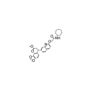 COC(=O)CC(c1ccc2c(c1)OCO2)c1ccc2ccc(OCC(=O)NC3CCCCCC3)nc2c1